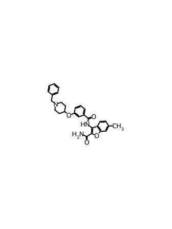 Cc1ccc2c(NC(=O)c3cccc(OC4CCN(Cc5ccccc5)CC4)c3)c(C(N)=O)oc2c1